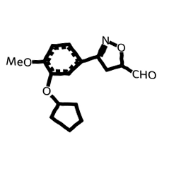 COc1ccc(C2=NOC(C=O)C2)cc1OC1CCCC1